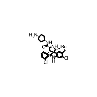 CC(C)(C)C[C@H]1N[C@@H](C(=O)N[C@H]2CC[C@@H](N)CC2)[C@H](c2cccc(Cl)c2)[C@@]12C(=O)Nc1cc(Cl)c(F)cc12